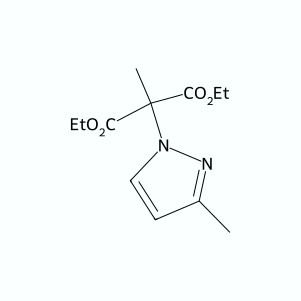 CCOC(=O)C(C)(C(=O)OCC)n1ccc(C)n1